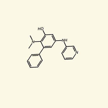 CN(C)c1c(O)cc(Nc2cccnc2)cc1-c1ccccc1